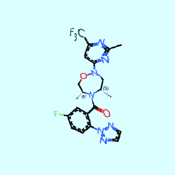 Cc1nc(N2C[C@H](C)N(C(=O)c3cc(F)ccc3-n3nccn3)[C@H](C)CO2)cc(C(F)(F)F)n1